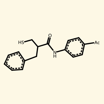 CC(=O)c1ccc(NC(=O)C(CS)Cc2ccccc2)cc1